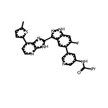 Cc1ccc(-c2ccnc3[nH]c(-c4n[nH]c5cc(F)c(-c6cncc(NC(=O)C(C)C)c6)cc45)nc23)s1